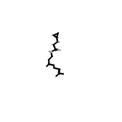 CC(C)=CCCC(C)CCOC(=O)CCC1CC1